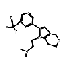 CN(C)CCn1c(-c2cccc(C(F)(F)F)c2)cc2c1CCSC2